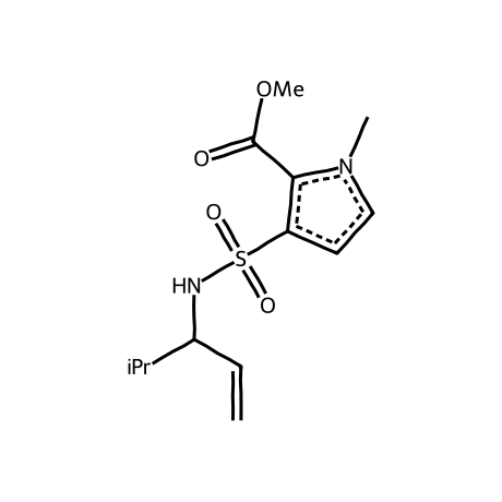 C=CC(NS(=O)(=O)c1ccn(C)c1C(=O)OC)C(C)C